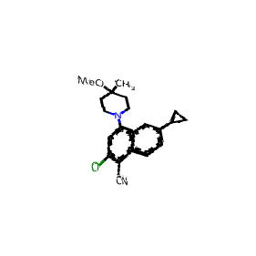 COC1(C)CCN(c2cc(Cl)c(C#N)c3ccc(C4CC4)cc23)CC1